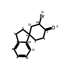 O=C1CCC2(CCc3ccccc32)CC1Br